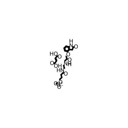 O=C(CCCO[N+](=O)[O-])NCCNCC(O)COc1cccc2c1CC(=O)N2.O=C(O)C=CC(=O)O